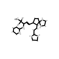 CCCCC(F)(F)C(C=CC1CCC2(OCCO2)C1CCC1SCCS1)OC1CCCCO1